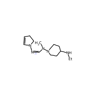 CCNC1CCN(N(C)/C=N\N2C=CCC2)CC1